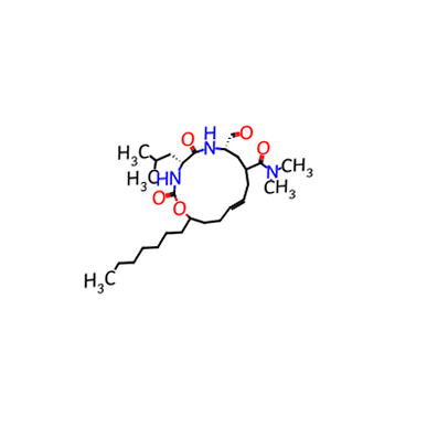 CCCCCCCC1CC/C=C/CC(C(=O)N(C)C)C[C@@H](C=O)NC(=O)[C@@H](CC(C)C)NC(=O)O1